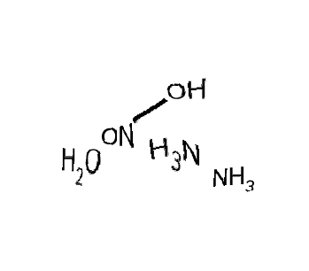 N.N.O.O=NO